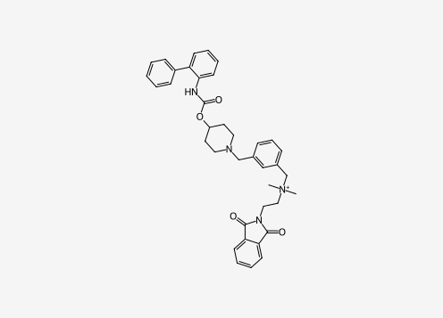 C[N+](C)(CCN1C(=O)c2ccccc2C1=O)Cc1cccc(CN2CCC(OC(=O)Nc3ccccc3-c3ccccc3)CC2)c1